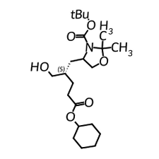 CC(C)(C)OC(=O)N1C(C[C@@H](CO)CCC(=O)OC2CCCCC2)COC1(C)C